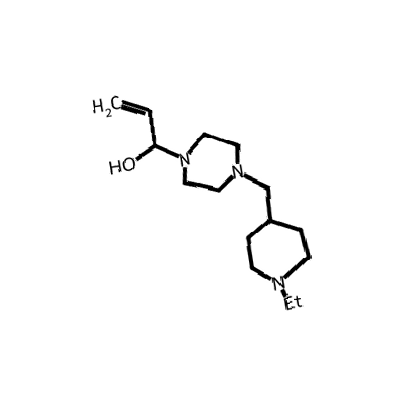 C=CC(O)N1CCN(CC2CCN(CC)CC2)CC1